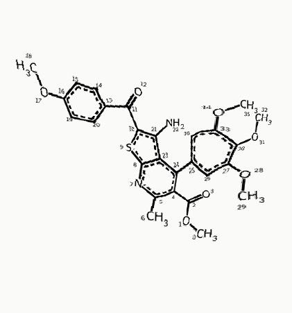 COC(=O)c1c(C)nc2sc(C(=O)c3ccc(OC)cc3)c(N)c2c1-c1cc(OC)c(OC)c(OC)c1